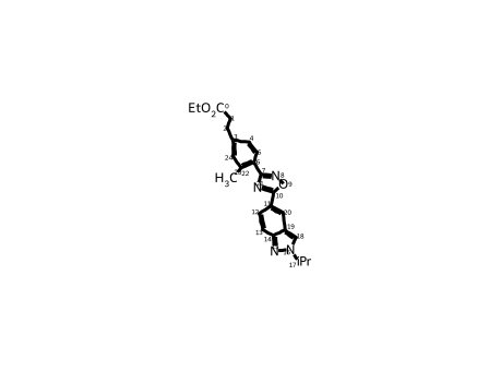 CCOC(=O)CCc1ccc(-c2noc(-c3ccc4nn(C(C)C)cc4c3)n2)c(C)c1